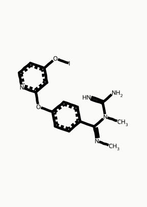 C/N=C(/c1ccc(Oc2cc(OI)ccn2)cc1)N(C)C(=N)N